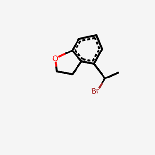 CC(Br)c1cccc2c1CCO2